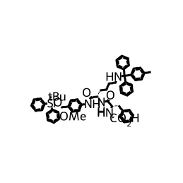 COc1cc(CO[Si](c2ccccc2)(c2ccccc2)C(C)(C)C)ccc1NC(=O)[C@H](CCCCNC(c1ccccc1)(c1ccccc1)c1ccc(C)cc1)NC(=O)[C@H](Cc1ccccc1)NC(=O)O